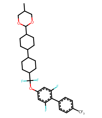 CC1COC(C2CCC(C3CCC(C(F)(F)Oc4cc(F)c(-c5ccc(C(F)(F)F)cc5)c(F)c4)CC3)CC2)OC1